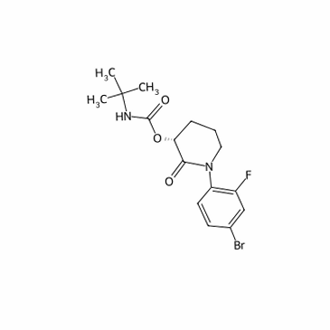 CC(C)(C)NC(=O)O[C@@H]1CCCN(c2ccc(Br)cc2F)C1=O